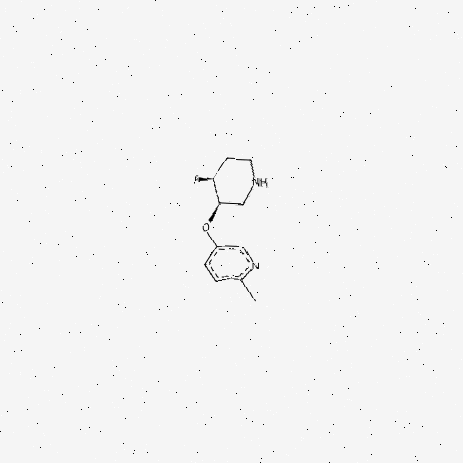 Cc1ccc(O[C@@H]2CNCC[C@@H]2F)cn1